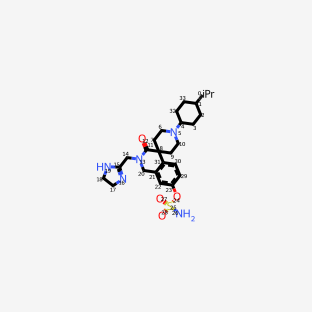 CC(C)C1CCC(N2CCC3(CC2)C(=O)N(CC2=NCCN2)Cc2cc(OS(N)(=O)=O)ccc23)CC1